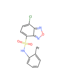 CC(C)c1ccccc1NS(=O)(=O)c1ccc(Cl)c2nonc12